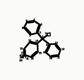 ClC(c1ccccc1)(c1ccccc1)c1ccccc1.[SiH4]